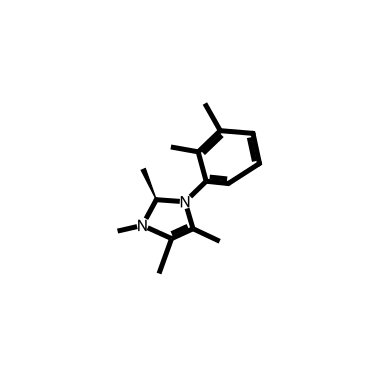 CC1=C(C)N(c2cccc(C)c2C)[C@H](C)N1C